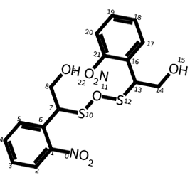 O=[N+]([O-])c1ccccc1C(CO)SOSC(CO)c1ccccc1[N+](=O)[O-]